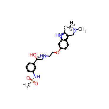 Cc1[nH]c2cc(OCCNC[C@H](O)c3cccc(NS(C)(=O)=O)c3)ccc2c1CN(C)C